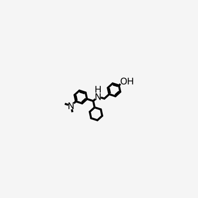 CN(C)c1cccc(C(NCc2ccc(O)cc2)C2CCCCC2)c1